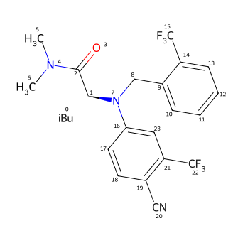 CC[C@H](C)[C@@H](C(=O)N(C)C)N(Cc1ccccc1C(F)(F)F)c1ccc(C#N)c(C(F)(F)F)c1